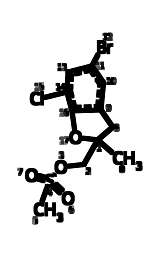 CC1(COS(C)(=O)=O)Cc2cc(Br)cc(Cl)c2O1